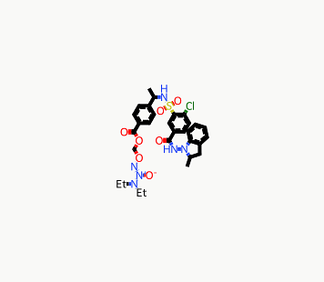 CCN(CC)[N+]([O-])=NOCOC(=O)c1ccc(C(C)NS(=O)(=O)c2cc(C(=O)NN3c4ccccc4CC3C)ccc2Cl)cc1